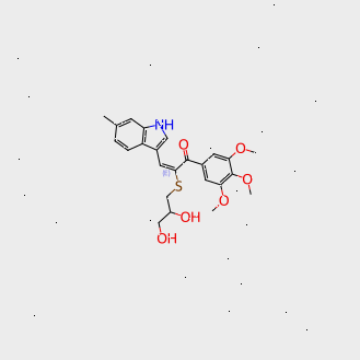 COc1cc(C(=O)/C(=C\c2c[nH]c3cc(C)ccc23)SCC(O)CO)cc(OC)c1OC